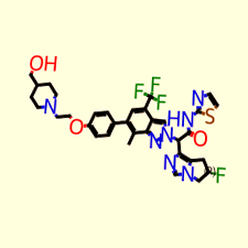 Cc1c(-c2ccc(OCCN3CCC(CO)CC3)cc2)cc(C(F)(F)F)c2cn(C(C(=O)Nc3nccs3)c3ncn4c3C[C@@H](F)C4)nc12